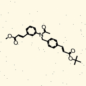 COC(=O)/C=C/c1cccc(N(Cc2ccc(/C=C/C(=O)OC(C)(C)C)cc2)C(C)=O)c1